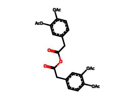 CC(=O)Oc1ccc(CC(=O)OC(=O)Cc2ccc(OC(C)=O)c(OC(C)=O)c2)cc1OC(C)=O